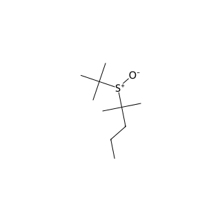 CCCC(C)(C)[S+]([O-])C(C)(C)C